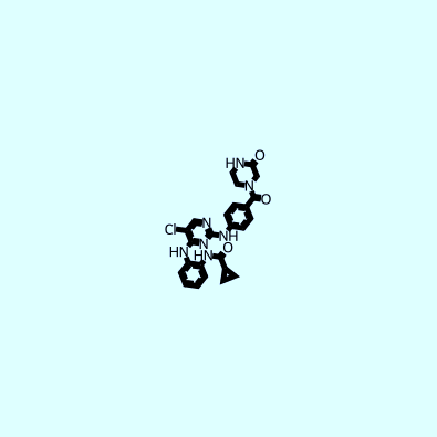 O=C1CN(C(=O)c2ccc(Nc3ncc(Cl)c(Nc4ccccc4NC(=O)C4CC4)n3)cc2)CCN1